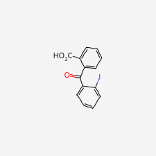 O=C(O)c1ccccc1C(=O)c1ccccc1I